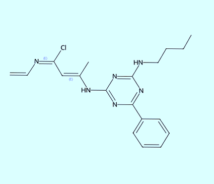 C=C/N=C(Cl)\C=C(/C)Nc1nc(NCCCC)nc(-c2ccccc2)n1